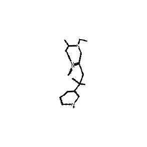 CCN1CC(CC(C)(C)C2CCCN(C)C2)N(C)CC1C